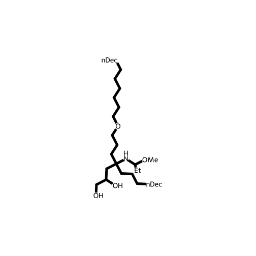 CCCCCCCCCCCCCCCCOCCCC(CCCCCCCCCCCCC)(CC(O)CO)NC(CC)OC